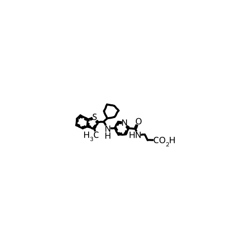 Cc1c(C(Nc2ccc(C(=O)NCCC(=O)O)nc2)C2CCCCC2)sc2ccccc12